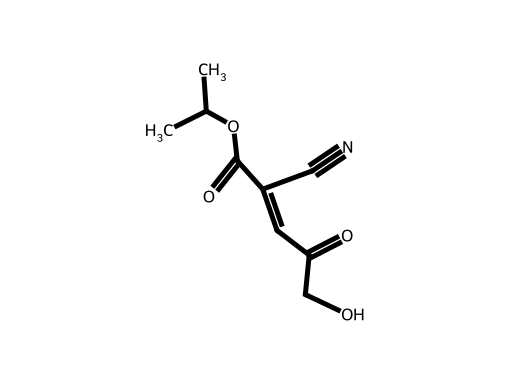 CC(C)OC(=O)C(C#N)=CC(=O)CO